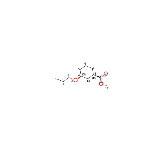 CCCO[C@H]1CCC[C@@H](C(=O)OC)C1